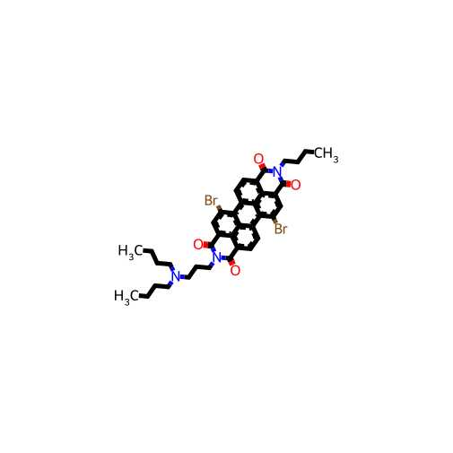 CCCCN(CCCC)CCCN1C(=O)c2ccc3c4c(Br)cc5c6c(ccc(c7c(Br)cc(c2c37)C1=O)c64)C(=O)N(CCCC)C5=O